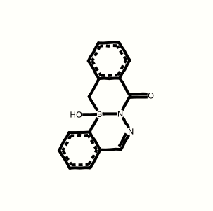 O=C1c2ccccc2C[B-]2(O)c3ccccc3C=NN12